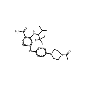 CC(=O)N1CCN(c2ccc(Nc3cc(N[C@@H](C(C)C)C(F)(F)F)c(C(N)=O)nn3)cc2)CC1